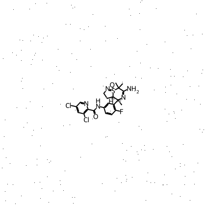 CC1(C)C(N)=N[C@](C)(c2cc(NC(=O)c3ncc(Cl)cc3Cl)ccc2F)[C@@H]2CCN=S21=O